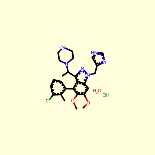 COc1cc2c(c(C(C)N3CCNCC3)nn2Cc2c[nH]cn2)c(-c2cccc(Cl)c2C)c1OC.Cl.O